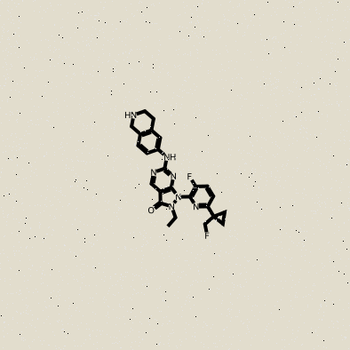 CCn1c(=O)c2cnc(Nc3ccc4c(c3)CCNC4)nc2n1-c1nc(C2(CF)CC2)ccc1F